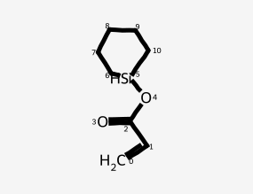 C=CC(=O)O[SiH]1CCCCC1